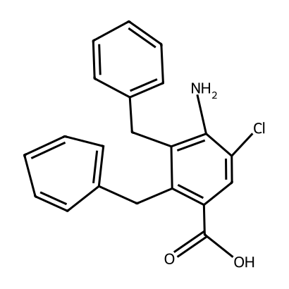 Nc1c(Cl)cc(C(=O)O)c(Cc2ccccc2)c1Cc1ccccc1